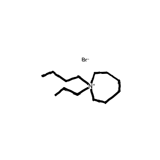 CCCC[N+]1(CCC)CCCCCC1.[Br-]